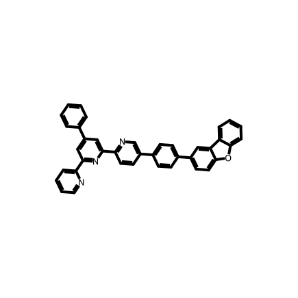 c1ccc(-c2cc(-c3ccccn3)nc(-c3ccc(-c4ccc(-c5ccc6oc7ccccc7c6c5)cc4)cn3)c2)cc1